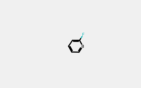 Fc1bcccc1